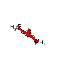 C=C(F)C(=O)OCCCCCCOc1ccc(C(=O)Oc2ccc(OC(=O)c3ccc(OCCCCCCOC(=O)C(=C)F)cc3)c(C(=O)OCc3ccccc3)c2)cc1